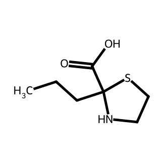 CCCC1(C(=O)O)NCCS1